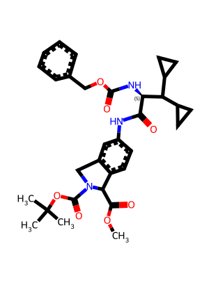 COC(=O)C1c2ccc(NC(=O)[C@@H](NC(=O)OCc3ccccc3)C(C3CC3)C3CC3)cc2CN1C(=O)OC(C)(C)C